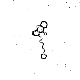 O=c1c2ccccc2oc2cccc(SOCCCN3CCCC3)c12